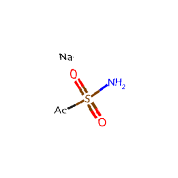 CC(=O)S(N)(=O)=O.[Na]